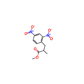 COC(=O)C(C)Cc1ccc([N+](=O)[O-])cc1[N+](=O)[O-]